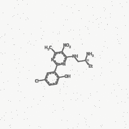 CC[C@H](N)CNc1nc(-c2cc(Cl)ccc2O)nc(C)c1[N+](=O)[O-]